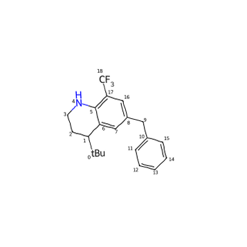 CC(C)(C)C1CCNc2c1cc(Cc1ccccc1)cc2C(F)(F)F